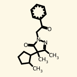 CC1=NN(CC(=O)c2ccccc2)C(=O)C1(C)C1CCCC1C